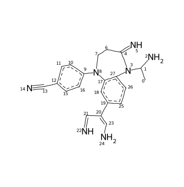 CC(N)N1C(=N)CCN(c2ccc(C#N)cc2)c2cc(/C(C=N)=C/N)ccc21